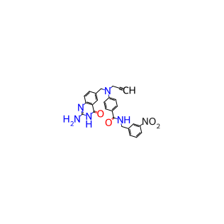 C#CCN(Cc1ccc2nc(N)[nH]c(=O)c2c1)c1ccc(C(=O)NCc2cccc([N+](=O)[O-])c2)cc1